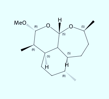 CO[C@@H]1O[C@@H]2O[C@@H](C)CC[C@@H]3C2[C@@H](CC[C@H]3C)[C@H]1C